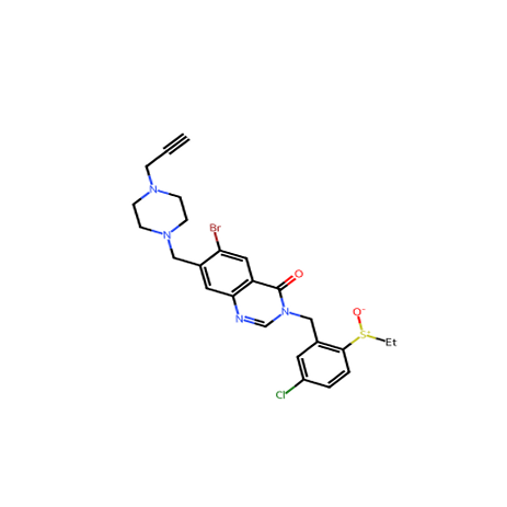 C#CCN1CCN(Cc2cc3ncn(Cc4cc(Cl)ccc4[S+]([O-])CC)c(=O)c3cc2Br)CC1